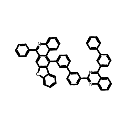 c1ccc(-c2cccc(-c3nc(-c4cccc(-c5cccc(-c6c7c(cc8c(-c9ccccc9)nc9ccccc9c68)oc6ccccc67)c5)c4)nc4ccccc34)c2)cc1